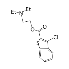 CCN(CC)CCOC(=O)c1sc2ccccc2c1Cl